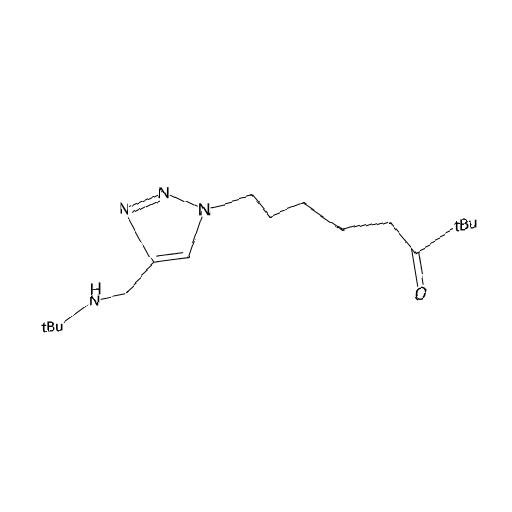 CC(C)(C)NCc1cn(CCCCCC(=O)C(C)(C)C)nn1